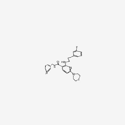 O=C(NCc1cccnc1)c1ccc(N2CCSCC2)nc1NCCc1cccc(F)c1